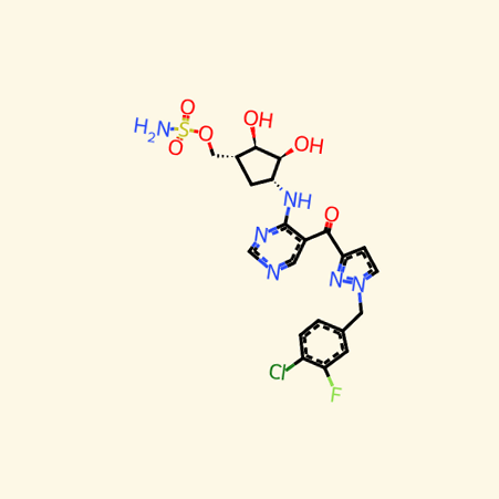 NS(=O)(=O)OC[C@H]1C[C@@H](Nc2ncncc2C(=O)c2ccn(Cc3ccc(Cl)c(F)c3)n2)[C@H](O)[C@@H]1O